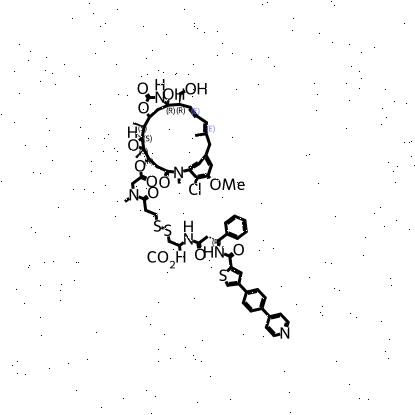 COc1cc2cc(c1Cl)N(C)C(=O)C[C@@H](OC(=O)CN(C)C(=O)CCSSCC(NC(=O)C[C@@H](NC(=O)c1cc(-c3ccc(-c4ccncc4)cc3)cs1)c1ccccc1)C(=O)O)[C@]1(C)O[C@H]1[C@@H](C)C1C[C@](O)(NC(=O)O1)[C@@H](CO)/C=C/C=C(\C)C2